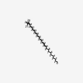 CCCCCCCCCCCC=CCCCCCCCCCCCCC(C)(C)C